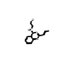 C/C=C/C1=NC(NCCO)C2C=CC=CC2=N1